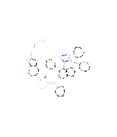 CCCCc1nc2ccc(N3CCCN(Cc4ccccc4)C3=O)cc2n1Cc1ccc(-c2ccccc2-c2nnnn2C(c2ccccc2)(c2ccccc2)c2ccccc2)cc1